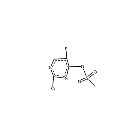 CS(=O)(=O)Oc1nc(Cl)ncc1F